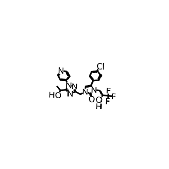 CC(O)c1nc(Cn2cc(-c3ccc(Cl)cc3)n(CC(O)C(F)(F)F)c2=O)nn1-c1ccncc1